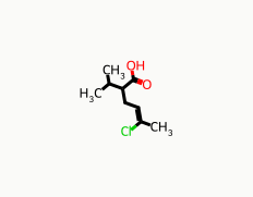 CC(Cl)=CCC(C(=O)O)C(C)C